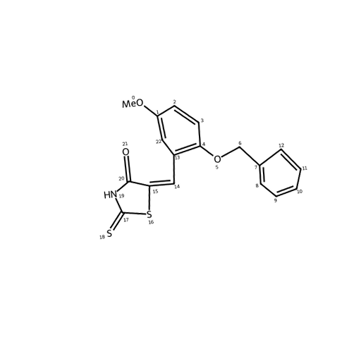 COc1ccc(OCc2ccccc2)c(/C=C2/SC(=S)NC2=O)c1